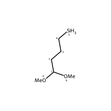 COC(CCC[SiH3])OC